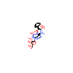 OCC1OC(n2cnc3c(N[C@@H](CO)[C@@H](O)c4ccccc4)ncnc32)C(O)C1O